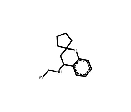 CC(C)CNC1CC2(CCCC2)Oc2ccccc21